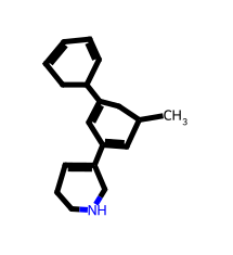 CC1C=C(C2=CCCNC2)C=C(C2C=CC=CC2)C1